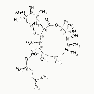 CC[C@H]1OC(=O)[C@H](C)[C@@H](O[C@H]2C[C@@](C)(OC)[C@@H](O)[C@H](C)O2)[C@H](C)[C@@H](OCO[C@H](C)CCN(C)C)C(C)(O)C[C@@H](C)CN(C)[C@H](C)[C@@H](O)[C@]1(C)O